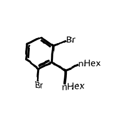 CCCCCCC(CCCCCC)c1c(Br)cccc1Br